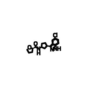 O=C(N[C@H]1CC[C@@H](c2n[nH]c3ccc(Cl)cc23)C1)[C@@H]1CCCO1